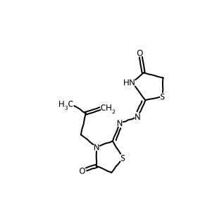 C=C(C)CN1C(=O)CSC1=NN=C1NC(=O)CS1